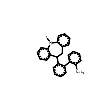 Cc1ccccc1-c1ccccc1C1Cc2ccccc2N(I)c2ccccc21